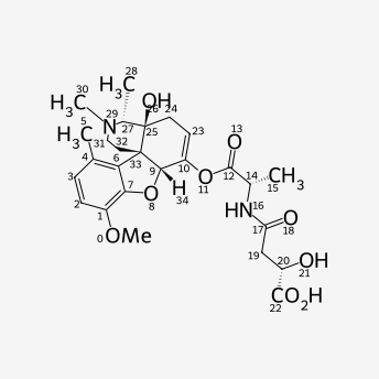 COc1ccc(C)c2c1O[C@H]1C(OC(=O)[C@H](C)NC(=O)C[C@H](O)C(=O)O)=CC[C@@]3(O)[C@@H](C)N(C)CC[C@]213